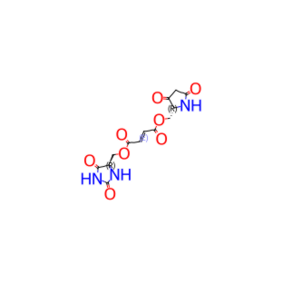 O=C1CC(=O)[C@@H](COC(=O)/C=C/C(=O)OC[C@H]2NC(=O)NC2=O)N1